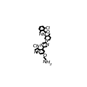 Cc1cccc(Cl)c1C(=O)NC1CN(c2cnc(-c3cc(OCCN)cn4ncc(C#N)c34)cn2)CCC1C